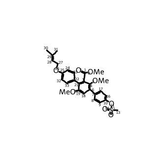 COC(=O)c1c(OC)c(-c2ccc(OS(C)(=O)=O)cc2)cc(OC)c1-c1ccc(OCC=C(C)C)cc1